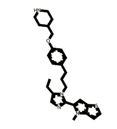 CCc1cnc(-c2cc3sccc3n2C)n1CCCc1ccc(OCC2CCNCC2)cc1